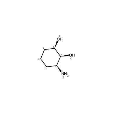 N[C@H]1CCC[C@@H](O)[C@H]1O